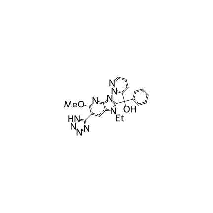 CCn1c(C(O)(c2ccccc2)c2cccnn2)nc2nc(OC)c(-c3nnn[nH]3)cc21